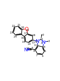 C[C@H]1N(C)c2cccc(C#N)c2N1c1ccc2c(c1)oc1ccccc12